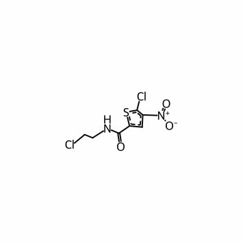 O=C(NCCCl)c1cc([N+](=O)[O-])c(Cl)s1